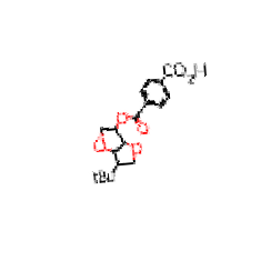 CC(C)(C)C1COC2C(OC(=O)c3ccc(C(=O)O)cc3)COC21